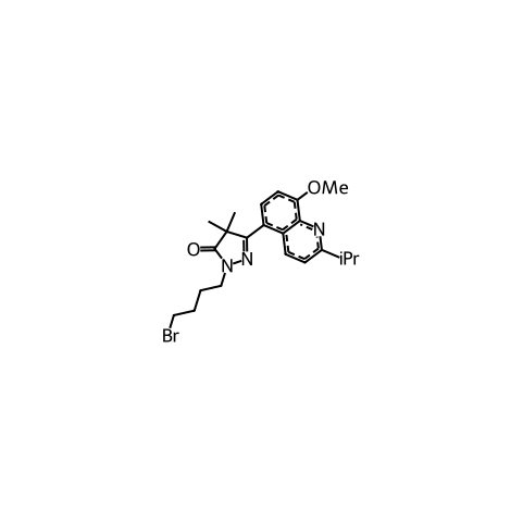 COc1ccc(C2=NN(CCCCBr)C(=O)C2(C)C)c2ccc(C(C)C)nc12